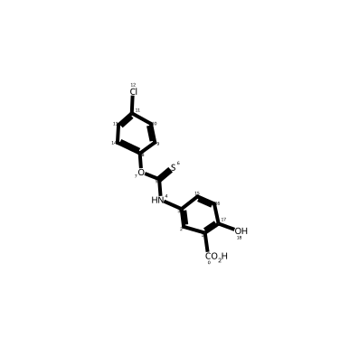 O=C(O)c1cc(NC(=S)Oc2ccc(Cl)cc2)ccc1O